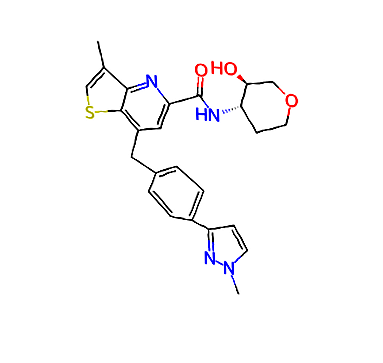 Cc1csc2c(Cc3ccc(-c4ccn(C)n4)cc3)cc(C(=O)N[C@H]3CCOC[C@@H]3O)nc12